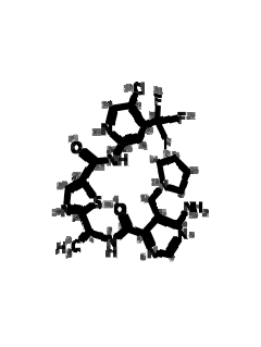 CC(NC(=O)c1ncnc(N)c1CN1CCCC1)c1ncc(C(=O)Nc2cc(C(F)(F)F)c(Cl)cn2)s1